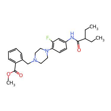 CCC(CC)C(=O)Nc1ccc(N2CCN(Cc3ccccc3C(=O)OC)CC2)c(F)c1